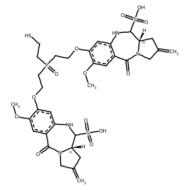 C=C1C[C@H]2C(S(=O)(=O)O)Nc3cc(OCCP(=O)(CCS)CCOc4cc5c(cc4OC)C(=O)N4CC(=C)C[C@H]4C(S(=O)(=O)O)N5)c(OC)cc3C(=O)N2C1